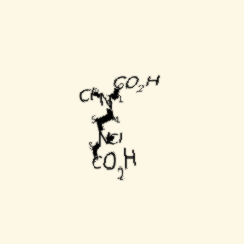 O=C(O)CN(Cl)CCN(Cl)CC(=O)O